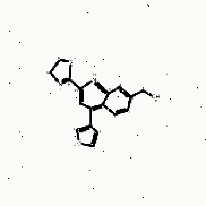 OCc1ccc2c(-c3ccoc3)cc(C3=NCCS3)nc2c1